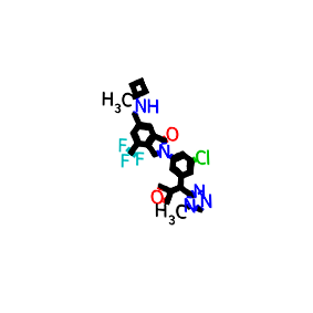 Cn1cnnc1C(c1cc(Cl)cc(N2Cc3c(cc(CNC4(C)CCC4)cc3C(F)(F)F)C2=O)c1)C1COC1